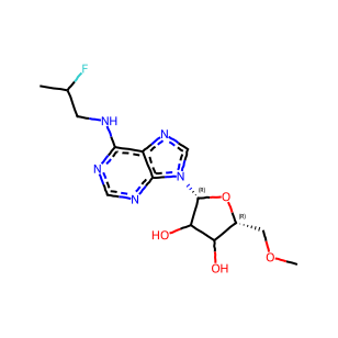 COC[C@H]1O[C@@H](n2cnc3c(NCC(C)F)ncnc32)C(O)C1O